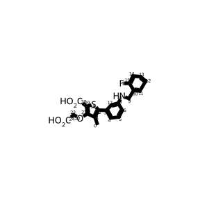 Cc1c(-c2cccc(NCc3ccccc3F)c2)sc(C(=O)O)c1OCC(=O)O